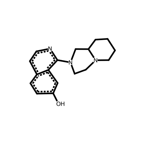 Oc1ccc2ccnc(N3CCN4CCCCC4C3)c2c1